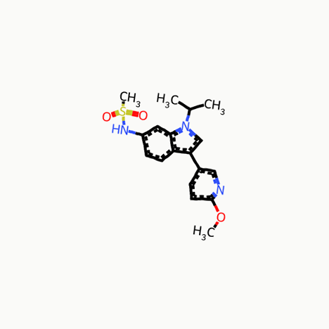 COc1ccc(-c2cn(C(C)C)c3cc(NS(C)(=O)=O)ccc23)cn1